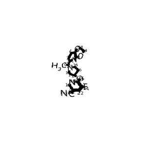 CC(c1ccc2c(n1)OCCO2)N1CCC(Oc2ncc(C#N)cc2F)CC1